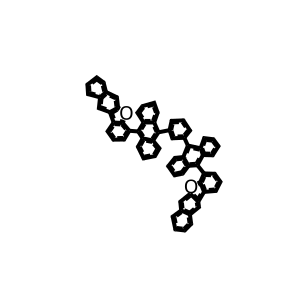 c1cc(-c2c3ccccc3c(-c3cccc4c3oc3cc5ccccc5cc34)c3ccccc23)cc(-c2c3ccccc3c(-c3cccc4c3oc3cc5ccccc5cc34)c3ccccc23)c1